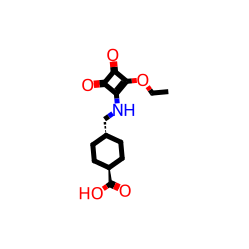 CCOc1c(NC[C@H]2CC[C@H](C(=O)O)CC2)c(=O)c1=O